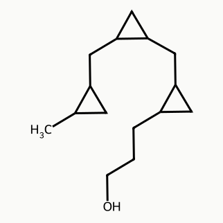 CC1CC1CC1CC1CC1CC1CCCO